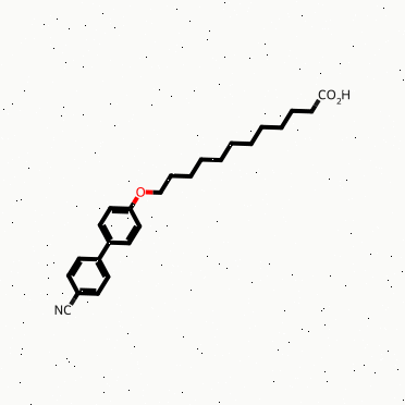 N#Cc1ccc(-c2ccc(OCCCCCCCCCCCC(=O)O)cc2)cc1